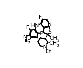 CCN1CCC[C@@H](C2(C)Cc3c(ncc(F)c3Nc3c(F)cc4scnc4c3F)S2)[C@@H]1C